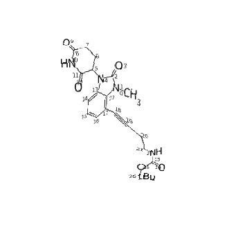 Cn1c(=O)n(C2CCC(=O)NC2=O)c2cccc(C#CCCNC(=O)OC(C)(C)C)c21